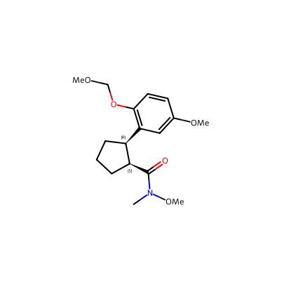 COCOc1ccc(OC)cc1[C@@H]1CCC[C@@H]1C(=O)N(C)OC